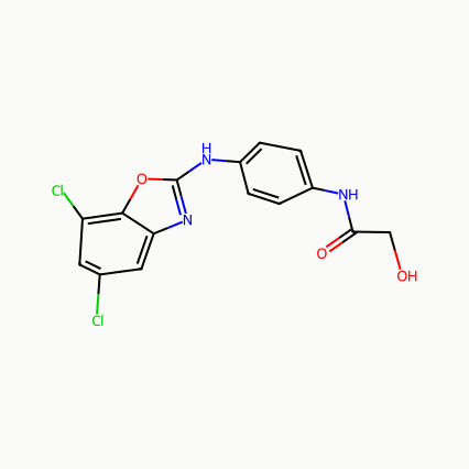 O=C(CO)Nc1ccc(Nc2nc3cc(Cl)cc(Cl)c3o2)cc1